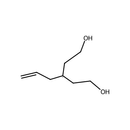 C=CC[C](CCO)CCO